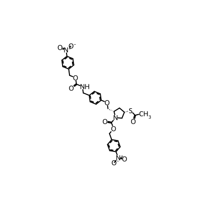 CC(=O)S[C@H]1C[C@@H](COc2ccc(CNC(=O)OCc3ccc([N+](=O)[O-])cc3)cc2)N(C(=O)OCc2ccc([N+](=O)[O-])cc2)C1